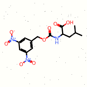 CC(C)CC(NC(=O)OCc1cc([N+](=O)[O-])cc([N+](=O)[O-])c1)C(=O)O